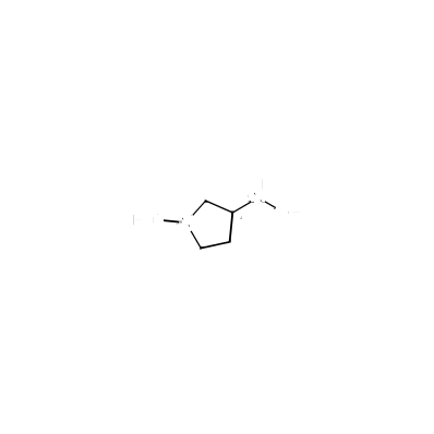 CN1CCC(NO)C1